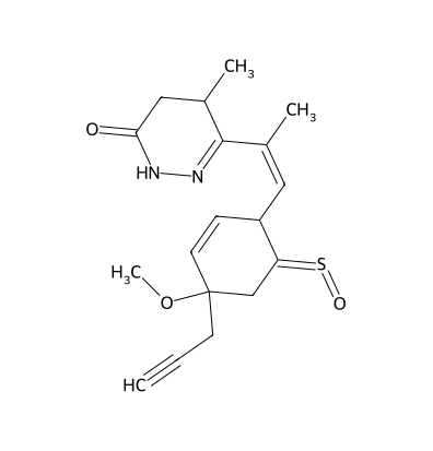 C#CCC1(OC)C=CC(C=C(C)C2=NNC(=O)CC2C)C(=S=O)C1